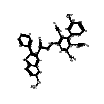 COc1ccc2nc(-c3ccccc3)c(C(=O)CSc3nc(N)c(C#N)c(-c4cccc(Cl)c4)c3C#N)cc2c1